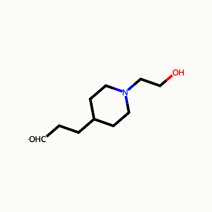 O=[C]CCC1CCN(CCO)CC1